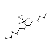 CCCCCCC(CCCCCC)C(N)(F)F